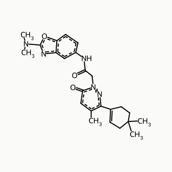 Cc1cc(=O)n(CC(=O)Nc2ccc3oc(N(C)C)nc3c2)nc1C1=CCC(C)(C)CC1